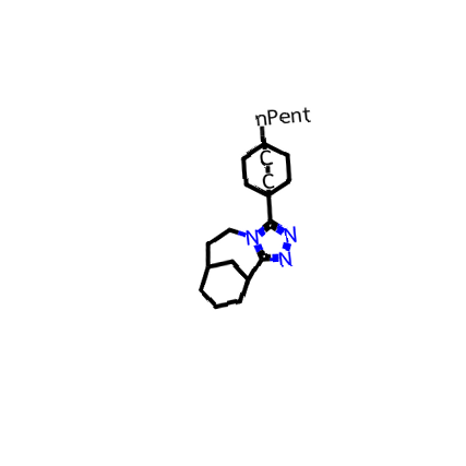 CCCCCC12CCC(c3nnc4n3CCC3CCCC4C3)(CC1)CC2